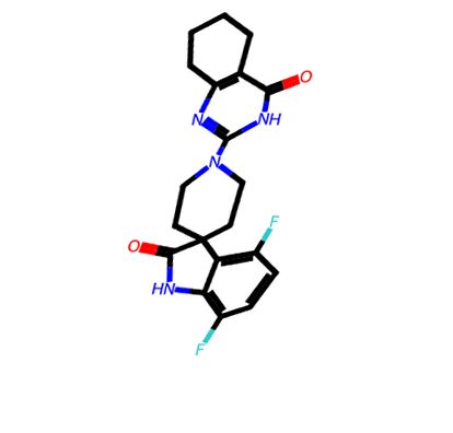 O=C1Nc2c(F)ccc(F)c2C12CCN(c1nc3c(c(=O)[nH]1)CCCC3)CC2